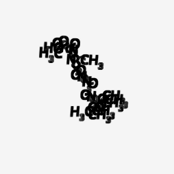 CCc1c2c(nc3ccc(OC(=O)N4CCN(C(=O)CCC(=O)N5CCC(C(=O)OC(C)(C)C)(C(=O)OC(C)(C)C)CC5)CC4)cc13)-c1cc3c(c(=O)n1C2)COC(=O)[C@]3(O)CC